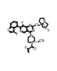 C=C(F)C(=O)N1CCN(c2nc(OC[C@@]34CCCN3C[C@H](F)C4)nc3c(F)c(-c4cccc5scc(F)c45)ncc23)C[C@@H]1CC#N